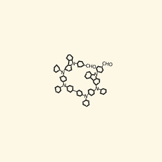 O=Cc1ccc(-n2c3ccccc3c3cc(N(c4ccccc4)c4ccc(N(c5ccccc5)c5ccc(-c6ccc(N(c7ccccc7)c7ccc(N(c8ccccc8)c8ccc9c(c8)c8ccccc8n9-c8ccc(C=O)cc8)cc7)cc6)cc5)cc4)ccc32)cc1